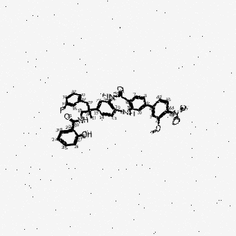 COc1cc(-c2ccc3c(c2)Nc2ccc(C(C)(CNC(=O)c4ccccc4O)Cc4cccc(F)c4)cc2NC3=O)ccc1[N+](=O)[O-]